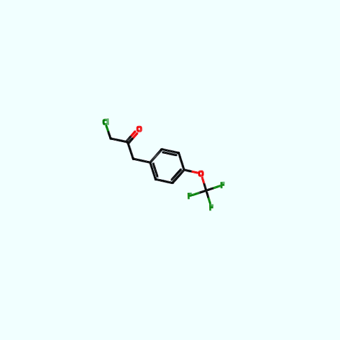 O=C(CCl)Cc1ccc(OC(F)(F)F)cc1